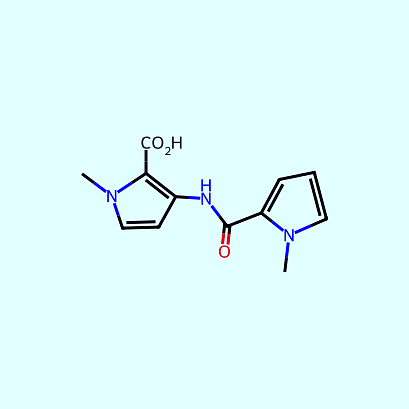 Cn1cccc1C(=O)Nc1ccn(C)c1C(=O)O